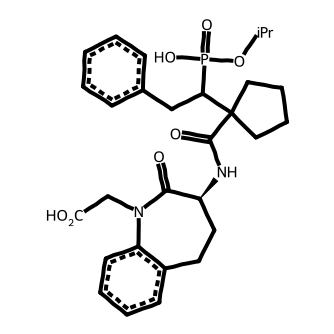 CC(C)OP(=O)(O)C(Cc1ccccc1)C1(C(=O)N[C@H]2CCc3ccccc3N(CC(=O)O)C2=O)CCCC1